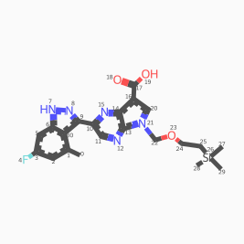 Cc1cc(F)cc2[nH]nc(-c3cnc4c(n3)c(C(=O)O)cn4COCC[Si](C)(C)C)c12